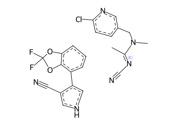 C/C(=N\C#N)N(C)Cc1ccc(Cl)nc1.N#Cc1c[nH]cc1-c1cccc2c1OC(F)(F)O2